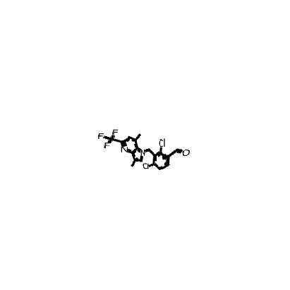 Cc1cn(Cc2c(Cl)ccc(C=O)c2Cl)c2c(C)cc(C(F)(F)F)nc12